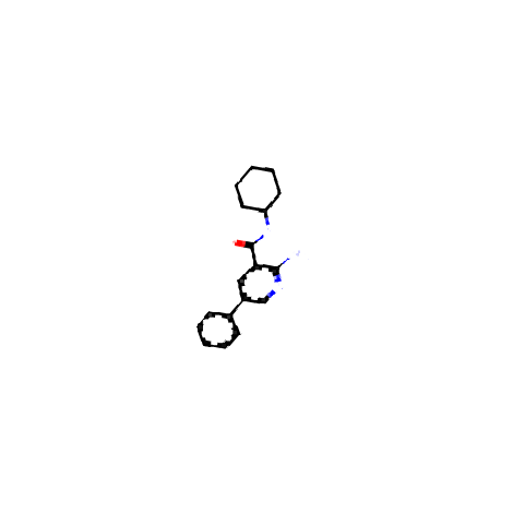 Nc1ncc(-c2ccccc2)cc1C(=O)NC1CCCCC1